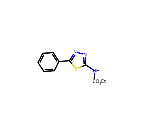 CCOC(=O)Nc1nnc(-c2ccccc2)s1